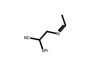 C/C=N\CC(C#N)CCC